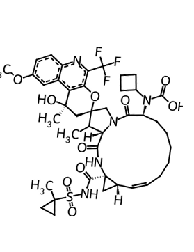 COc1ccc2nc(C(F)(F)F)c3c(c2c1)[C@](C)(O)C[C@]1(CN2C(=O)[C@@H](N(C(=O)O)C4CCC4)CCCCC/C=C\[C@@H]4C[C@@]4(C(=O)NS(=O)(=O)C4(C)CC4)NC(=O)[C@@H]2C1C)O3